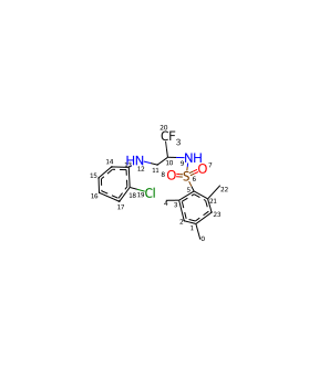 Cc1cc(C)c(S(=O)(=O)NC(CNc2ccccc2Cl)C(F)(F)F)c(C)c1